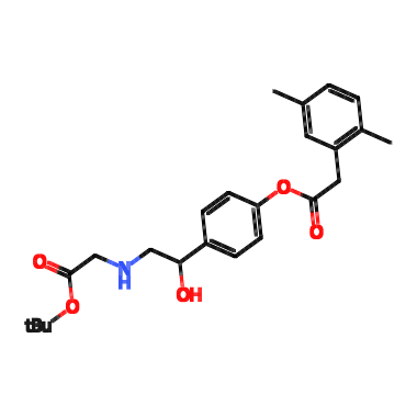 Cc1ccc(C)c(CC(=O)Oc2ccc(C(O)CNCC(=O)OC(C)(C)C)cc2)c1